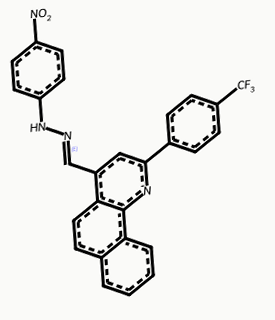 O=[N+]([O-])c1ccc(N/N=C/c2cc(-c3ccc(C(F)(F)F)cc3)nc3c2ccc2ccccc23)cc1